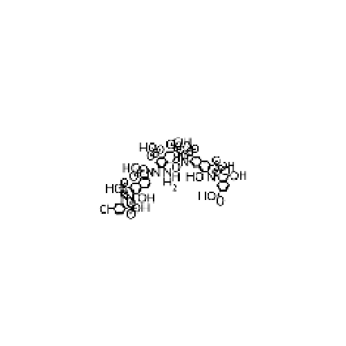 Nc1c(N=Nc2ccc3c(O)c(N=Nc4cc(Cl)ccc4S(=O)(=O)O)c(S(=O)(=O)O)cc3c2S(=O)(=O)O)cc(S(=O)(=O)O)c2cc(S(=O)(=O)O)c(N=Nc3cc4c(O)c(N=Nc5cc(C(=O)O)ccc5C(=O)O)c(S(=O)(=O)O)cc4cc3S(=O)(=O)O)c(O)c12